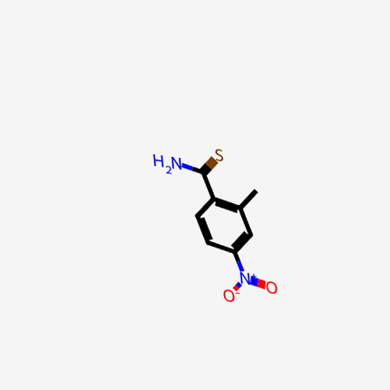 Cc1cc([N+](=O)[O-])ccc1C(N)=S